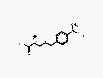 CN(C)c1ccc(CSC[C@@H](N)C(=O)O)cc1